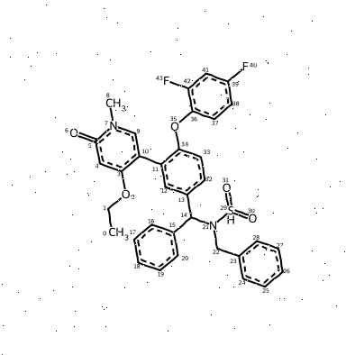 CCOc1cc(=O)n(C)cc1-c1cc(C(c2ccccc2)N(Cc2ccccc2)[SH](=O)=O)ccc1Oc1ccc(F)cc1F